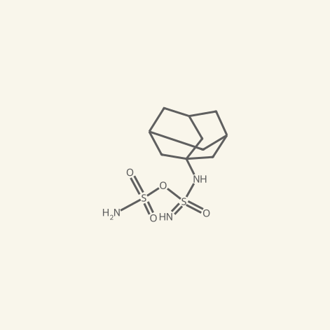 N=S(=O)(NC12CC3CC(CC(C3)C1)C2)OS(N)(=O)=O